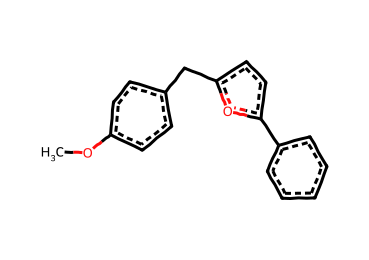 COc1ccc(Cc2ccc(-c3ccccc3)o2)cc1